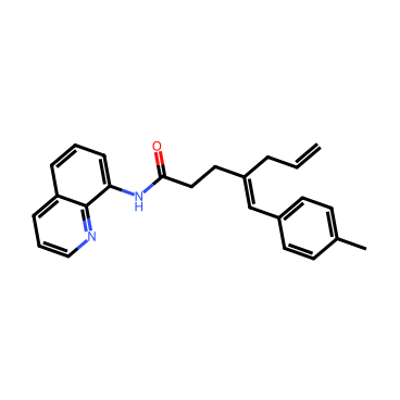 C=CCC(=Cc1ccc(C)cc1)CCC(=O)Nc1cccc2cccnc12